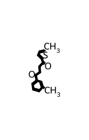 Cc1cccc(C(=O)CCC(=O)c2ccc(C)s2)c1